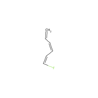 C=C/C=C\C=C/F